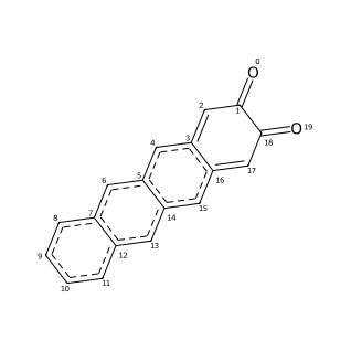 O=C1C=c2cc3cc4ccccc4cc3cc2=CC1=O